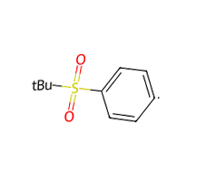 CC(C)(C)S(=O)(=O)c1cc[c]cc1